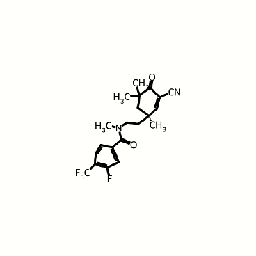 CN(CC[C@]1(C)C=C(C#N)C(=O)C(C)(C)C1)C(=O)c1ccc(C(F)(F)F)c(F)c1